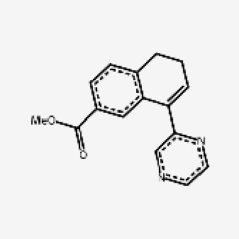 COC(=O)c1ccc2c(c1)C(c1cnccn1)=CCC2